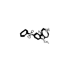 CN1c2ccc(S(=O)(=O)c3ccccc3)cc2[C@@H]2CCNCCC21